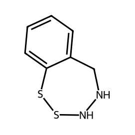 c1ccc2c(c1)CNNSS2